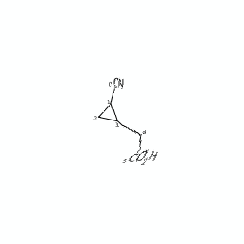 N#CC1CC1CC(=O)O